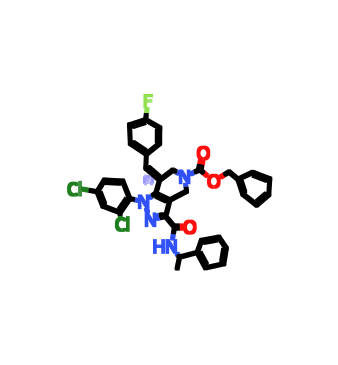 CC(NC(=O)c1nn(-c2ccc(Cl)cc2Cl)c2c1CN(C(=O)OCc1ccccc1)C/C2=C\c1ccc(F)cc1)c1ccccc1